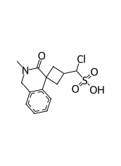 CN1Cc2ccccc2C2(CC(C(Cl)S(=O)(=O)O)C2)C1=O